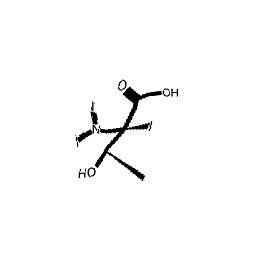 C[C@@H](O)[C@@](I)(C(=O)O)N(I)I